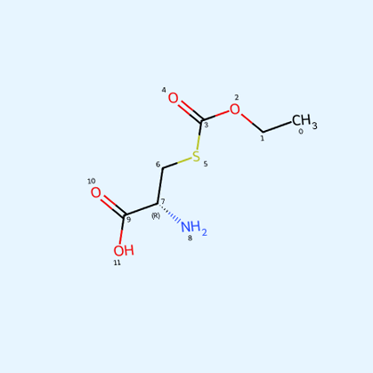 CCOC(=O)SC[C@H](N)C(=O)O